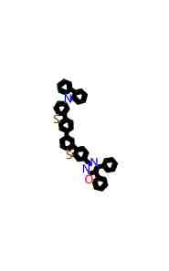 c1ccc(-c2nc(-c3ccc4c(c3)sc3ccc(-c5ccc6c(c5)sc5ccc(-n7c8ccccc8c8ccccc87)cc56)cc34)nc3oc4ccccc4c23)cc1